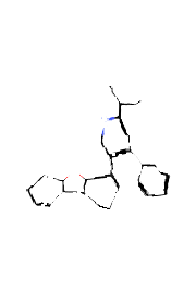 CC(C)C1=CC(C2C=CC=CC2)=C(C2CCCC3C4C=CCCC4OC23)CN1